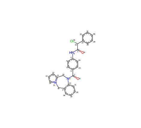 O=C(Nc1ccc(C(=O)N2Cc3cccn3Cc3ccccc32)cc1)C(Cl)c1ccccc1